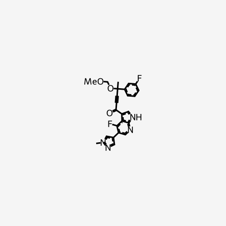 COCOC(C)(C#CC(=O)c1c[nH]c2ncc(-c3cnn(C)c3)c(F)c12)c1cccc(F)c1